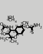 C.CC1(C)Oc2ccc(C#N)cc2C(NC(O)=S)C1O.NC(O)=S.[KH]